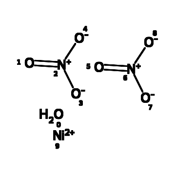 O.O=[N+]([O-])[O-].O=[N+]([O-])[O-].[Ni+2]